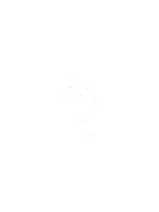 C=CC1CC(C#N)N(C(=O)CN(C)C(=O)c2cc3cccc(C(F)(F)F)c3[nH]2)C1